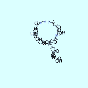 CO[C@H]1C[C@@H]2CC[C@@H](C)[C@@](O)(O2)C(=O)C(=O)N2CCCC[C@H]2C(=O)O[C@H]([C@H](C)C[C@@H]2CC[C@H](n3cc(C(=O)O)nn3)[C@H](OC)C2)CC(=O)[C@H](C)/C=C(\C)[C@@H](O)[C@@H](OC)C(=O)[C@H](C)C[C@H](C)/C=C/C=C/C=C/1C